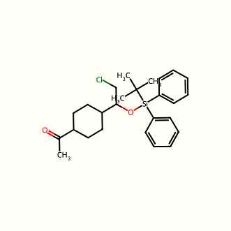 CC(=O)C1CCC(C(CCl)O[Si](c2ccccc2)(c2ccccc2)C(C)(C)C)CC1